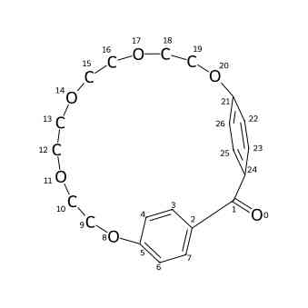 O=C1c2ccc(cc2)OCCOCCOCCOCCOc2ccc1cc2